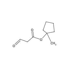 CC1(OC(=O)CC=O)CCCC1